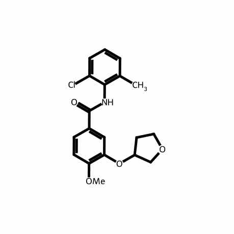 COc1ccc(C(=O)Nc2c(C)cccc2Cl)cc1OC1CCOC1